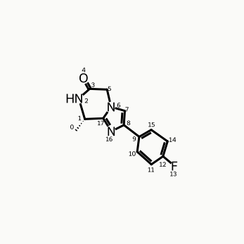 C[C@@H]1NC(=O)Cn2cc(-c3ccc(F)cc3)nc21